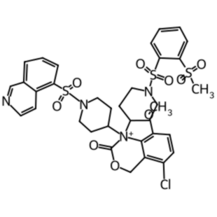 COc1ccc(Cl)c2c1[N+](C1CCN(S(=O)(=O)c3ccccc3S(C)(=O)=O)CC1)(C1CCN(S(=O)(=O)c3cccc4cnccc34)CC1)C(=O)OC2